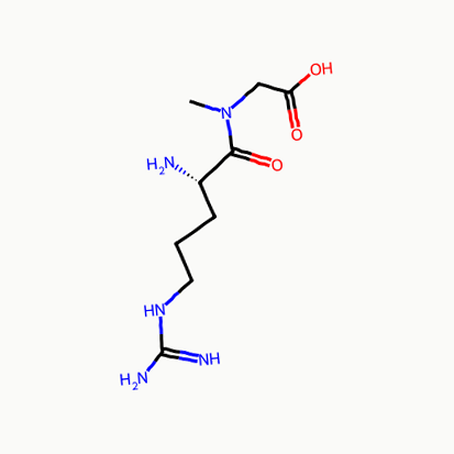 CN(CC(=O)O)C(=O)[C@@H](N)CCCNC(=N)N